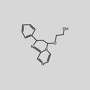 OCCOC1CC(c2[c]cccc2)N=C2C=NC=CN21